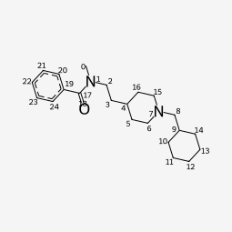 CN(CCC1CCN(CC2CCCCC2)CC1)C(=O)c1ccccc1